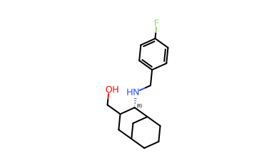 OCC1CC2CCCC(C2)[C@H]1NCc1ccc(F)cc1